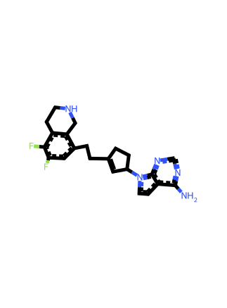 Nc1ncnc2c1ccn2C1C=C(CCc2cc(F)c(F)c3c2CNCC3)CC1